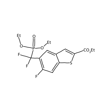 CCOC(=O)c1cc2cc(C(F)(F)P(=O)(OCC)OCC)c(F)cc2s1